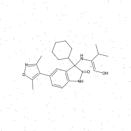 Cc1noc(C)c1-c1ccc2c(c1)C(N/C(=C/O)C(C)C)(C1CCCCC1)C(=O)N2